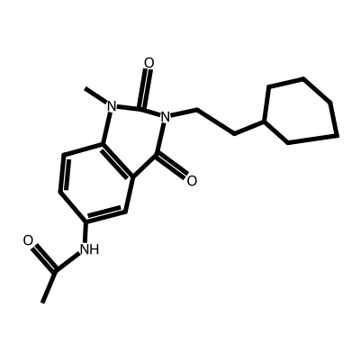 CC(=O)Nc1ccc2c(c1)c(=O)n(CCC1CCCCC1)c(=O)n2C